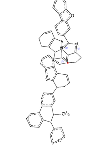 CC1c2cc(C3CC=Cc4c3sc3cccc(C5=C/CC/C(C6=CC=CC7C8=C(C=CCC8)SC67)=N/C(c6ccc7c(c6)oc6ccccc67)=N\5)c43)ccc2-c2ccccc2C1c1ccccc1